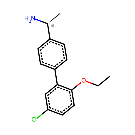 CCOc1ccc(Cl)cc1-c1ccc([C@@H](C)N)cc1